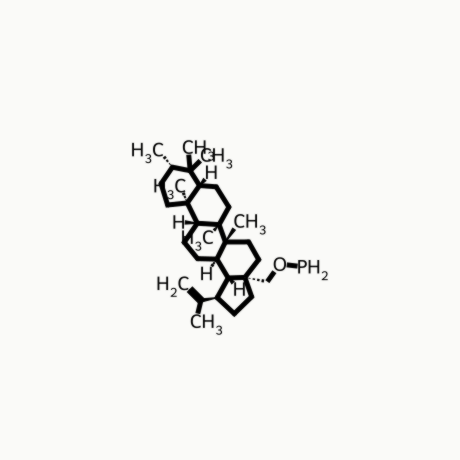 C=C(C)[C@@H]1CC[C@]2(COP)CC[C@]3(C)[C@H](CC[C@@H]4[C@@]5(C)CC[C@H](C)C(C)(C)[C@@H]5CC[C@]43C)[C@@H]12